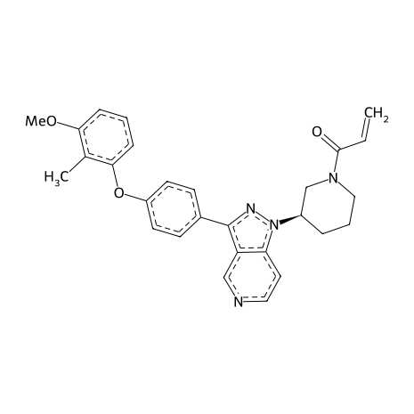 C=CC(=O)N1CCC[C@@H](n2nc(-c3ccc(Oc4cccc(OC)c4C)cc3)c3cnccc32)C1